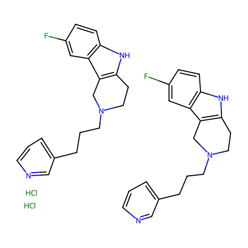 Cl.Cl.Fc1ccc2[nH]c3c(c2c1)CN(CCCc1cccnc1)CC3.Fc1ccc2[nH]c3c(c2c1)CN(CCCc1cccnc1)CC3